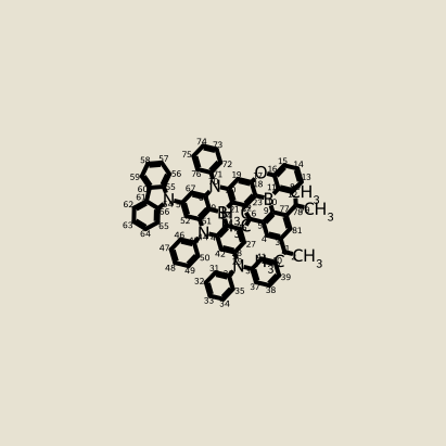 CC(C)c1cc(C(C)C)c(B2c3ccccc3Oc3cc4c(cc32)B2c3ccc(N(c5ccccc5)c5ccccc5)cc3N(c3ccccc3)c3cc(-n5c6ccccc6c6ccccc65)cc(c32)N4c2ccccc2)c(C(C)C)c1